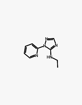 CCNc1ncnn1-c1ccccn1